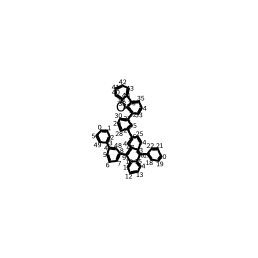 c1ccc(-c2cccc(-c3c4ccccc4c(-c4ccccc4)c4ccc(-c5cccc(-c6cccc7c6oc6ccccc67)c5)cc34)c2)cc1